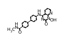 CNC(=O)c1ccc(-c2ccc(Nc3nc(=O)n(O)c4ncccc34)cc2)cc1